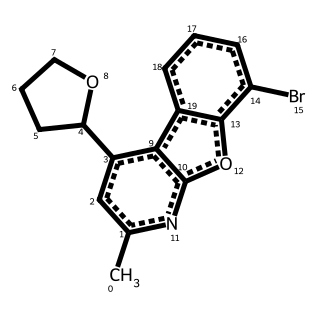 Cc1cc(C2CCCO2)c2c(n1)oc1c(Br)cccc12